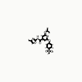 Cc1csc(NC(=O)c2cc(Oc3ccc(S(C)(=O)=O)cc3)nc(OC(C)C)c2)n1